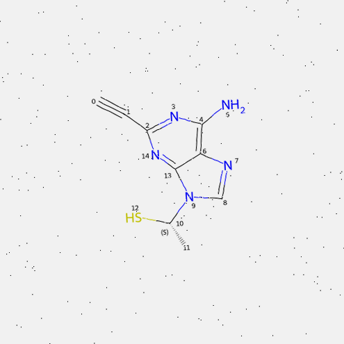 C#Cc1nc(N)c2ncn([C@H](C)S)c2n1